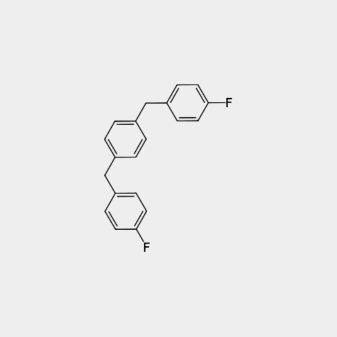 Fc1ccc(Cc2ccc(Cc3ccc(F)cc3)cc2)cc1